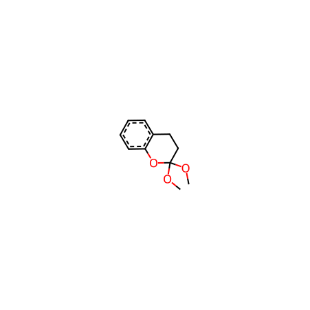 COC1(OC)CCc2ccccc2O1